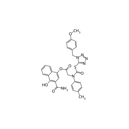 COc1ccc(Cn2nnnc2SC(=O)N(CC(=O)Oc2cc(C(N)=O)c(O)c3ccccc23)c2ccc(C)cc2)cc1